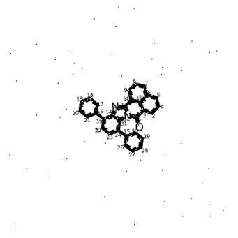 O=c1c2cccc3cccc(c32)c2nc3c(-c4ccccc4)ccc(-c4ccccc4)c3n12